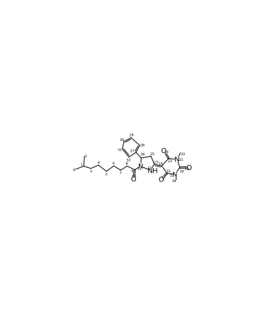 CC(C)CCCCCCC(=O)N1NC(=C2C(=O)N(C)C(=O)N(C)C2=O)CC1c1ccccc1